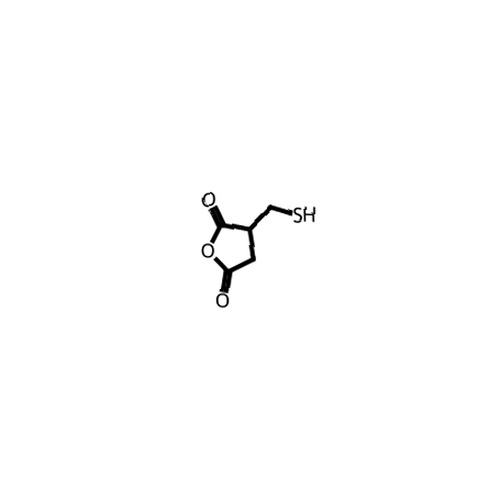 O=C1CC(CS)C(=O)O1